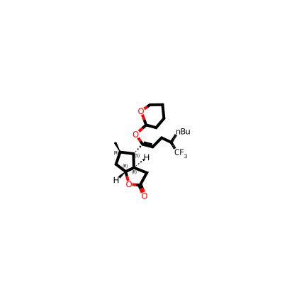 CCCCC(CC=C(OC1CCCCO1)[C@@H]1[C@H]2CC(=O)O[C@@H]2C[C@H]1C)C(F)(F)F